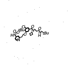 CC(C)(C)CNC(=O)CCN(C(=O)c1cc(Cl)cc(OCCc2cc(NC(=O)OC(C)(C)C)ccn2)c1)C1CCC1